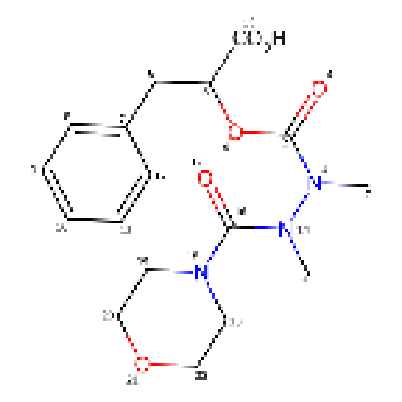 CN(C(=O)OC(Cc1ccccc1)C(=O)O)N(C)C(=O)N1CCOCC1